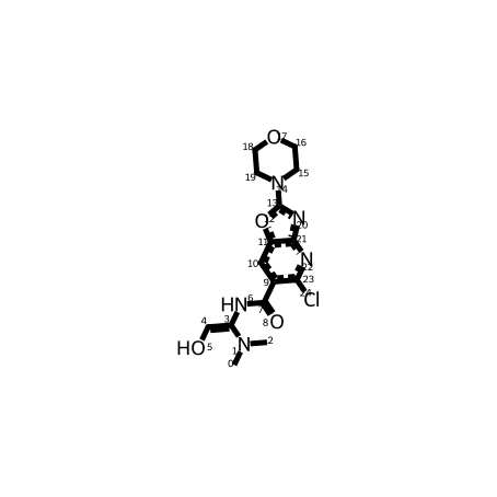 CN(C)/C(=C\O)NC(=O)c1cc2oc(N3CCOCC3)nc2nc1Cl